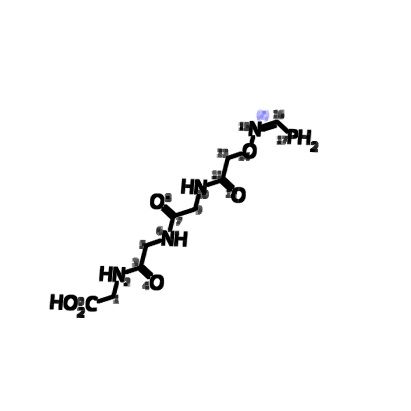 O=C(O)CNC(=O)CNC(=O)CNC(=O)CO/N=C\P